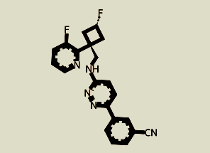 N#Cc1cccc(-c2ccc(NC[C@]3(c4ncccc4F)C[C@@H](F)C3)nn2)c1